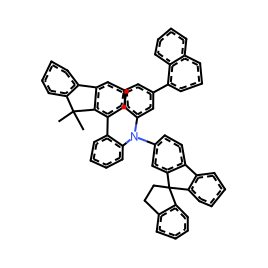 CC1(C)c2ccccc2-c2cccc(-c3ccccc3N(c3cccc(-c4cccc5ccccc45)c3)c3ccc4c(c3)C3(CCc5ccccc53)c3ccccc3-4)c21